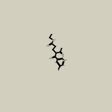 CCOC(=O)CCC(C(C)=O)C(=O)c1cncc(C)c1